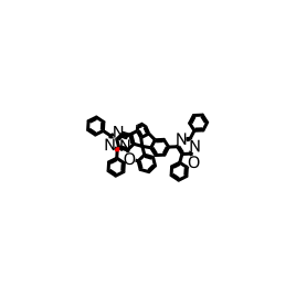 c1ccc(-c2nc(-c3ccccc3)nc(-c3cccc4c3C3(c5ccccc5Oc5ccccc53)c3ccc(-c5nc(-c6ccccc6)nc6oc7ccccc7c56)cc3-4)n2)cc1